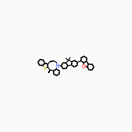 C=C1c2ccccc2N(c2ccc3c(c2)C(C)(C)c2cc(-c4cccc5c4oc4ccccc45)ccc2-3)C/C=C\c2c1sc1ccccc21